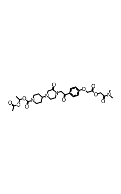 CC(=O)OC(C)OC(=O)N1CCC(N2CCN(CC(=O)c3ccc(OCC(=O)OCC(=O)N(C)C)cc3)C(=O)C2)CC1